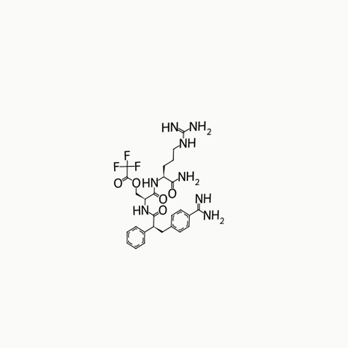 N=C(N)NCCC[C@H](NC(=O)[C@H](COC(=O)C(F)(F)F)NC(=O)[C@@H](Cc1ccc(C(=N)N)cc1)c1ccccc1)C(N)=O